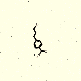 NC(=O)c1ccc(CCCBr)cc1